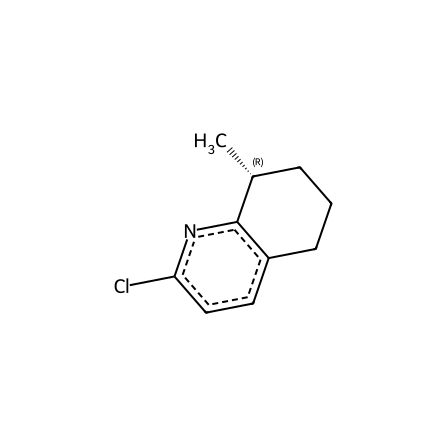 C[C@@H]1CCCc2ccc(Cl)nc21